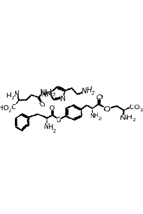 NC(=O)CC[C@H](N)C(=O)O.NCCc1c[nH]cn1.N[C@@H](COC(=O)[C@@H](N)Cc1ccc(OC(=O)[C@@H](N)Cc2ccccc2)cc1)C(=O)O